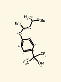 CC(OC(Oc1ccc(C(O)(C(F)(F)F)C(F)(F)F)cc1)C(C)(C)C)C(C)(C)C